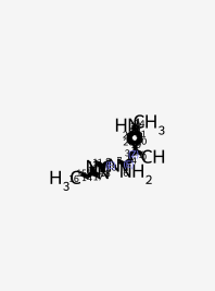 C#C/C(=C\C=C(\N)C/N=C/c1cnc(CCC)cn1)c1ccc(NC)cc1